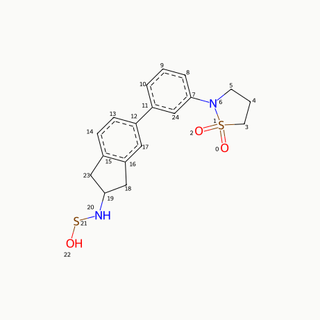 O=S1(=O)CCCN1c1cccc(-c2ccc3c(c2)CC(NSO)C3)c1